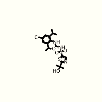 CC(C)c1cc(Cl)cc(C(C)C)c1NC(=O)NS(=O)(=O)c1cnc(C(C)(C)O)s1